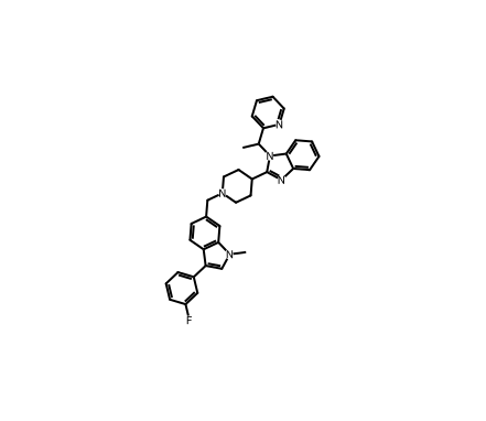 CC(c1ccccn1)n1c(C2CCN(Cc3ccc4c(-c5cccc(F)c5)cn(C)c4c3)CC2)nc2ccccc21